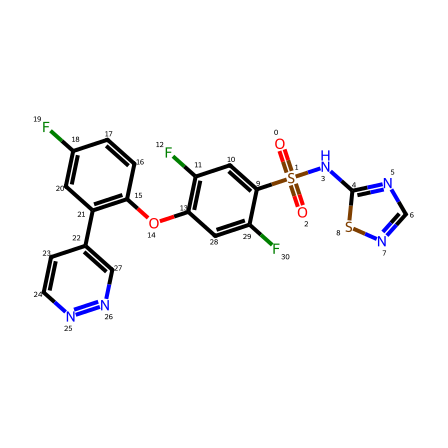 O=S(=O)(Nc1ncns1)c1cc(F)c(Oc2ccc(F)cc2-c2ccnnc2)cc1F